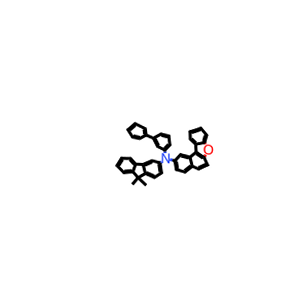 CC1(C)c2ccccc2-c2cc(N(c3cccc(-c4ccccc4)c3)c3ccc4ccc5oc6ccccc6c5c4c3)ccc21